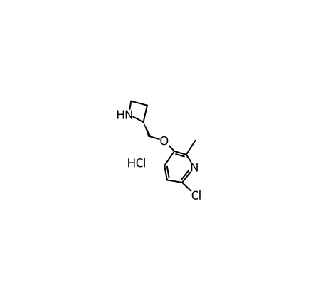 Cc1nc(Cl)ccc1OC[C@@H]1CCN1.Cl